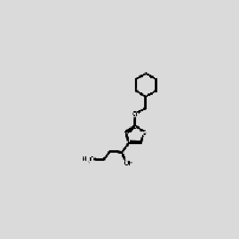 CCCC(O)c1csc(OCC2CCCCC2)c1